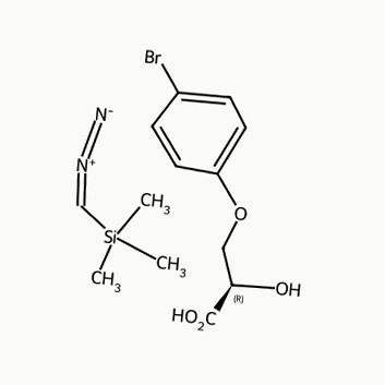 C[Si](C)(C)C=[N+]=[N-].O=C(O)[C@H](O)COc1ccc(Br)cc1